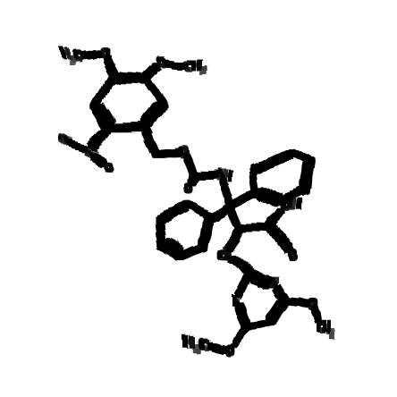 COc1cc(OC)nc(OC(C(=O)O)C(NC(=O)OCc2cc(OC)c(OC)cc2[N+](=O)[O-])(c2ccccc2)c2ccccc2)n1